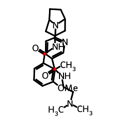 COc1cccc(C(=O)NC2CC3CCC(C2)N3c2ccc(C(=O)NCCN(C)C)cn2)c1C